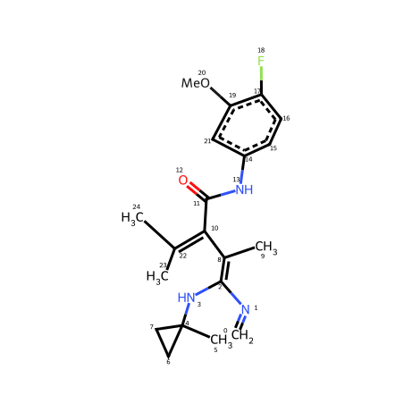 C=N/C(NC1(C)CC1)=C(\C)C(C(=O)Nc1ccc(F)c(OC)c1)=C(C)C